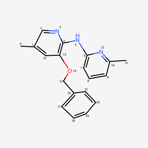 Cc1cnc(Nc2cccc(C)n2)c(OCc2ccccc2)c1